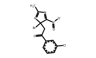 CC1=NC(Br)(CC(=O)c2cccc(Cl)c2)C([N+](=O)[O-])=N1